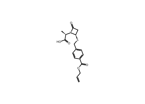 C=CCOC(=O)c1ccc(CS[C@@H]2CC(=O)N2[C@H](C)C(=O)O)cc1